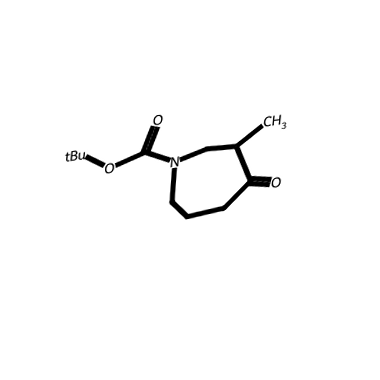 CC1CN(C(=O)OC(C)(C)C)CCCC1=O